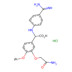 CC(C)Oc1ccc(C(Nc2ccc(C(=N)N)cc2)C(=O)O)cc1OCC(N)=O.Cl